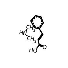 CNC.O=C(O)C=Cc1ccccc1